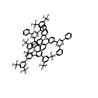 FC(F)(F)c1cc(-c2ccc3c(c2)c2cc(-c4cc(C(F)(F)F)cc(C(F)(F)F)c4)ccc2n3-c2ccc(-c3nc(-c4ccccc4)nc(-c4ccccc4)n3)cc2-c2cccc(-c3cc(-c4nc(-c5ccccc5)nc(-c5ccccc5)n4)ccc3-n3c4ccc(-c5cc(C(F)(F)F)cc(C(F)(F)F)c5)cc4c4cc(-c5cc(C(F)(F)F)cc(C(F)(F)F)c5)ccc43)c2)cc(C(F)(F)F)c1